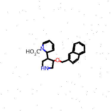 O=C(O)N1C=CC=CC1C1CCNCC1OCc1ccc2ccccc2c1